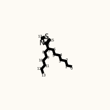 CCCCCCCC(CCCCCC)c1cscn1